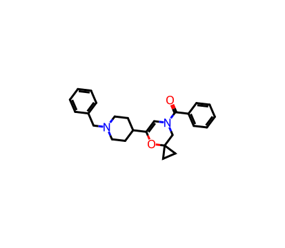 O=C(c1ccccc1)N1C=C(C2CCN(Cc3ccccc3)CC2)OC2(CC2)C1